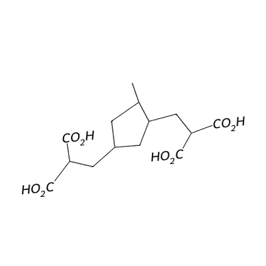 CC1CC(CC(C(=O)O)C(=O)O)CC1CC(C(=O)O)C(=O)O